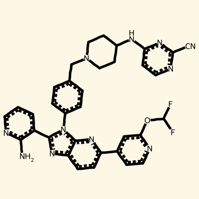 N#Cc1nccc(NC2CCN(Cc3ccc(-n4c(-c5cccnc5N)nc5ccc(-c6ccnc(OC(F)F)c6)nc54)cc3)CC2)n1